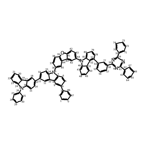 c1ccc(-c2ccc3c(c2)c2cc(-c4ccc5c(c4)c4ccccc4n5-c4ccccc4)ccc2n3-c2ccc3oc4ccc(-n5c6ccccc6c6c(-c7cccc(-c8nc(-c9ccccc9)nc(-c9ccccc9)n8)c7)cccc65)cc4c3c2)cc1